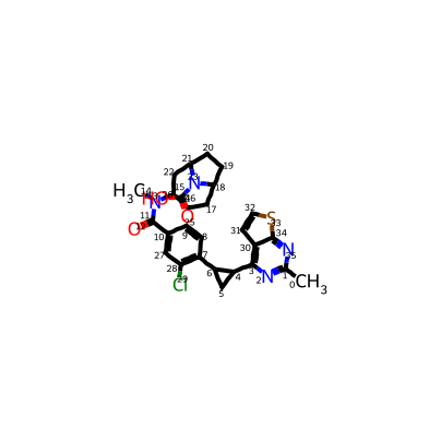 Cc1nc(C2CC2c2ccc(C(=O)N(C)C3CCC4CCC(C3)N4C(=O)O)cc2Cl)c2ccsc2n1